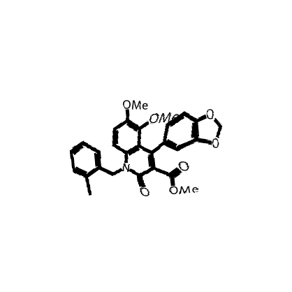 COC(=O)c1c(-c2ccc3c(c2)OCO3)c2c(OC)c(OC)ccc2n(Cc2ccccc2C)c1=O